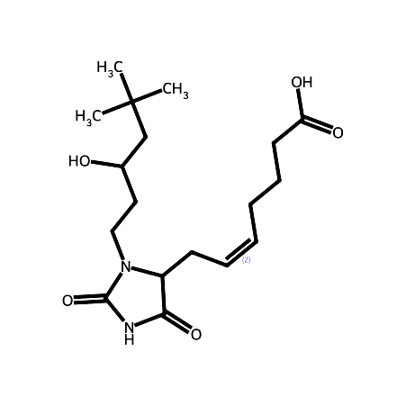 CC(C)(C)CC(O)CCN1C(=O)NC(=O)C1C/C=C\CCCC(=O)O